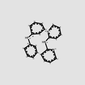 c1ccc(Nc2ccccn2)nc1.c1ccc(Pc2ccccc2)cc1